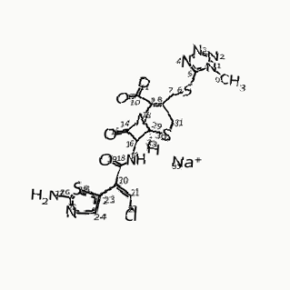 Cn1nnnc1SCC1=C(C(=O)[O-])N2C(=O)C(NC(=O)C(=CCl)c3cnc(N)s3)[C@@H]2SC1.[Na+]